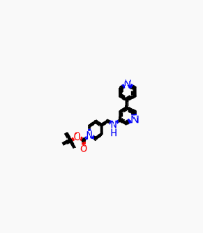 CC(C)(C)OC(=O)N1CCC(CNc2cncc(-c3ccncc3)c2)CC1